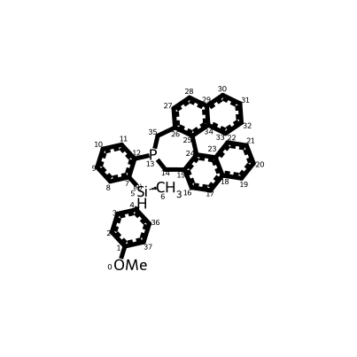 COc1ccc([Si@@H](C)c2ccccc2P2Cc3ccc4ccccc4c3-c3c(ccc4ccccc34)C2)cc1